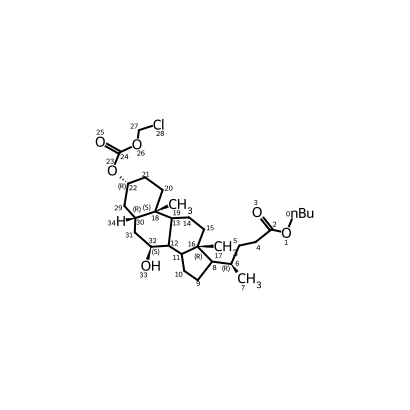 CCCCOC(=O)CC[C@@H](C)C1CCC2C3C(CC[C@@]21C)[C@@]1(C)CC[C@@H](OC(=O)OCCl)C[C@H]1C[C@@H]3O